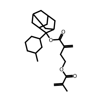 C=C(C)C(=O)OCCC(=C)C(=O)OC1(C2CCCC(C)C2)C2CC3CC(C2)CC1C3